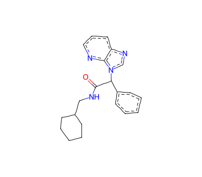 O=C(NCC1CCCCC1)C(c1ccccc1)n1cnc2cccnc21